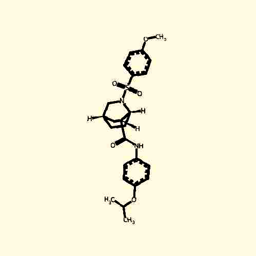 COc1ccc(S(=O)(=O)N2C[C@H]3CC[C@@H]2[C@H](C(=O)Nc2ccc(OC(C)C)cc2)C3)cc1